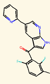 NC(=O)c1ccc(F)c(C(=O)c2c[nH]c3ncc(-c4ccccn4)cc23)c1F